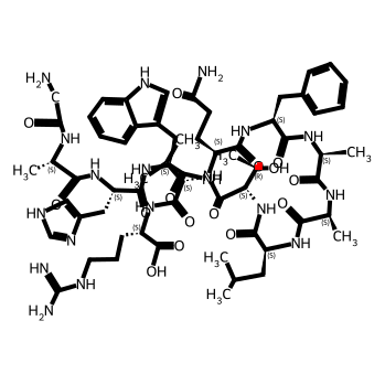 CC(C)C[C@H](NC(=O)[C@H](C)NC(=O)[C@H](C)NC(=O)[C@H](Cc1ccccc1)NC(=O)[C@H](CCC(N)=O)NC(=O)[C@H](Cc1c[nH]c2ccccc12)NC(=O)[C@H](Cc1c[nH]cn1)NC(=O)[C@H](C)NC(=O)CN)C(=O)N[C@H](C(=O)N[C@H](C(=O)N[C@@H](CCCNC(=N)N)C(=O)O)C(C)C)[C@@H](C)O